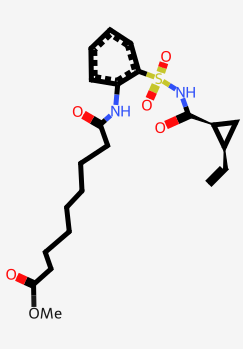 C=C[C@@H]1C[C@@H]1C(=O)NS(=O)(=O)c1ccccc1NC(=O)CCCCCCCC(=O)OC